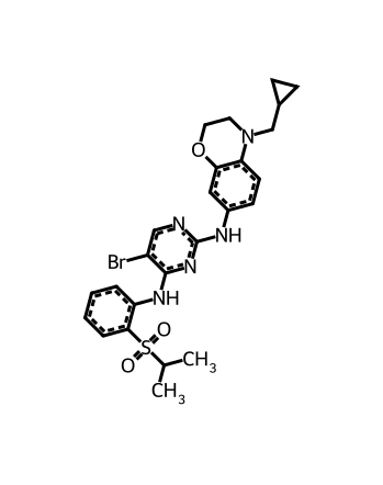 CC(C)S(=O)(=O)c1ccccc1Nc1nc(Nc2ccc3c(c2)OCCN3CC2CC2)ncc1Br